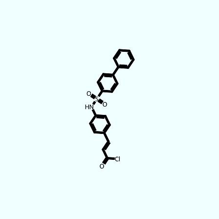 O=C(Cl)/C=C/c1ccc(NS(=O)(=O)c2ccc(-c3ccccc3)cc2)cc1